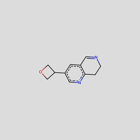 C1=NCCc2ncc(C3COC3)cc21